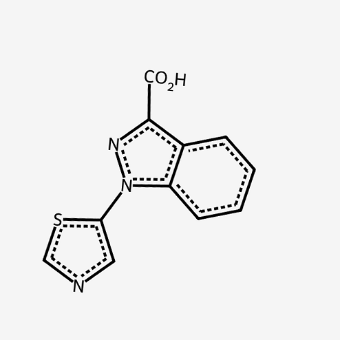 O=C(O)c1nn(-c2cncs2)c2ccccc12